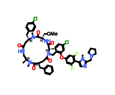 COC[C@@H]1NC(=O)[C@H](C)N(Cc2ccc(Cl)cc2Oc2cc(F)c(-c3cnc(CN4CCCC4)n3C)c(F)c2)C(=O)C[C@@H](Cc2ccccc2)C(=O)N(C)[C@@H](C)CNC(=O)C[C@H](Cc2ccc(Cl)cc2)N(C)C1=O